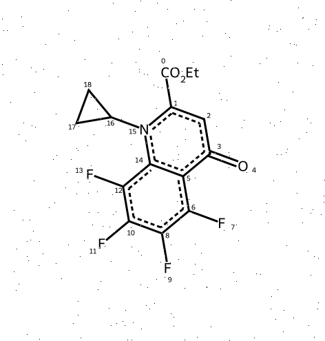 CCOC(=O)c1cc(=O)c2c(F)c(F)c(F)c(F)c2n1C1CC1